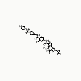 Cn1c(-c2cn(C3CC3(F)F)nc2C(F)(F)F)cnc1C(=O)Nc1ccc(C(=O)NC2C3CN(C(=O)N[C@@H]4CCNC4)CC32)c(Cl)c1